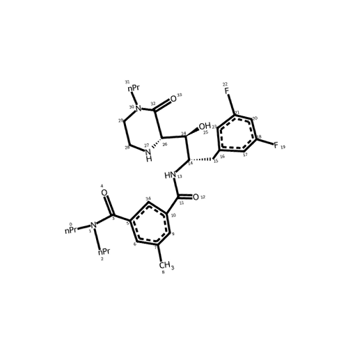 CCCN(CCC)C(=O)c1cc(C)cc(C(=O)N[C@@H](Cc2cc(F)cc(F)c2)[C@H](O)[C@@H]2NCCN(CCC)C2=O)c1